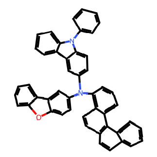 c1ccc(-n2c3ccccc3c3cc(N(c4ccc5oc6ccccc6c5c4)c4cccc5c4ccc4ccc6ccccc6c45)ccc32)cc1